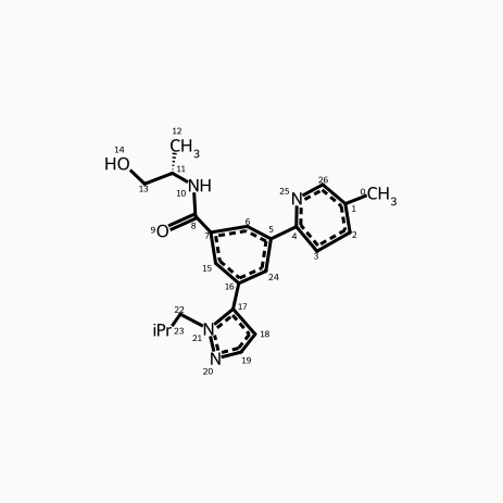 Cc1ccc(-c2cc(C(=O)N[C@@H](C)CO)cc(-c3ccnn3CC(C)C)c2)nc1